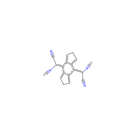 [C-]#[N+]C(C#N)=c1c2c(c(=C(C#N)[N+]#[C-])c3c1=CCC=3)=CCC=2